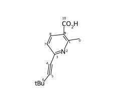 Cc1nc(C#CC(C)(C)C)ccc1C(=O)O